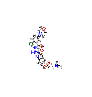 CCN(CC)CCCS(=O)(=O)c1ccc2nc(NC(=O)NC(=O)c3cc(N4CCOCC4)ccc3Cl)sc2c1